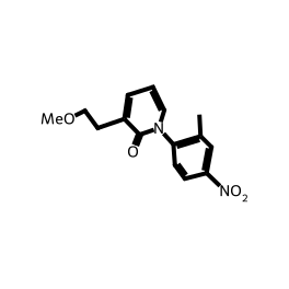 COCCc1cccn(-c2ccc([N+](=O)[O-])cc2C)c1=O